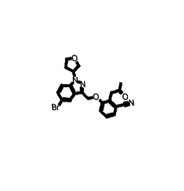 CC(=O)Cc1c(C#N)cccc1OCc1nn(C2CCOC2)c2ccc(Br)cc12